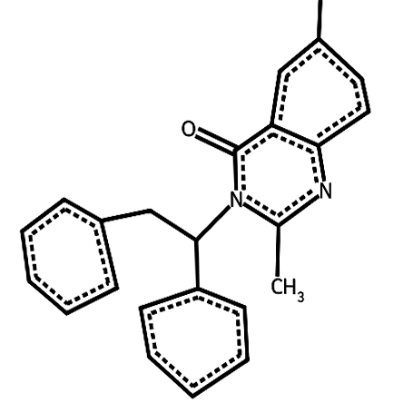 Cc1nc2ccc(Br)cc2c(=O)n1C(Cc1ccccc1)c1ccccc1